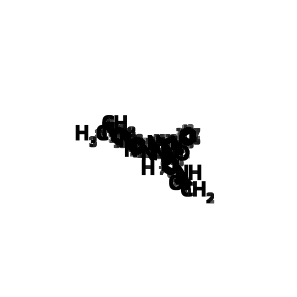 C=CC(=O)Nc1cccc(N2C(=O)N(c3ccccc3)Cc3cnc(Nc4ccc(N5CCC(N(C)C)CC5)nc4)nc32)c1